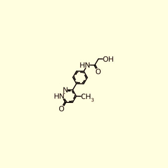 Cc1cc(=O)[nH]nc1-c1ccc(NC(=O)CO)cc1